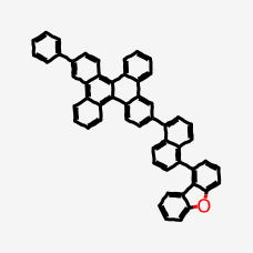 c1ccc(-c2ccc3c(c2)c2ccccc2c2c4ccc(-c5cccc6c(-c7cccc8oc9ccccc9c78)cccc56)cc4c4ccccc4c32)cc1